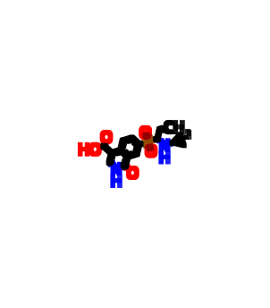 C=CC(NC1CC1)S(=O)(=O)c1ccc2c(C(=O)O)c[nH]c(=O)c2c1